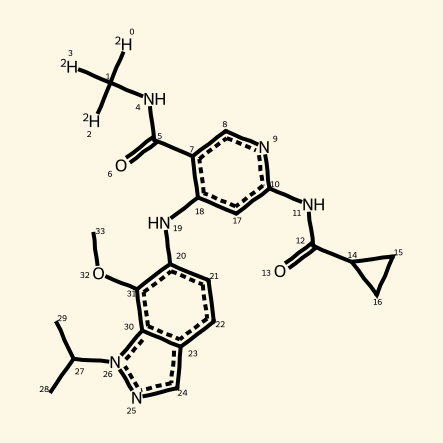 [2H]C([2H])([2H])NC(=O)c1cnc(NC(=O)C2CC2)cc1Nc1ccc2cnn(C(C)C)c2c1OC